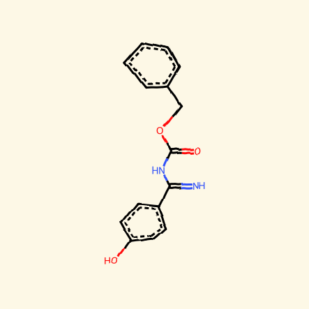 N=C(NC(=O)OCc1ccccc1)c1ccc(O)cc1